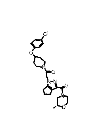 C[C@H]1CN(C(=O)c2nn(CC(=O)N3CCC(Oc4ccc(Cl)cc4)CC3)c3c2CCC3)CCO1